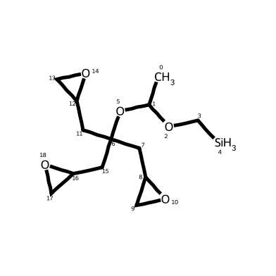 CC(OC[SiH3])OC(CC1CO1)(CC1CO1)CC1CO1